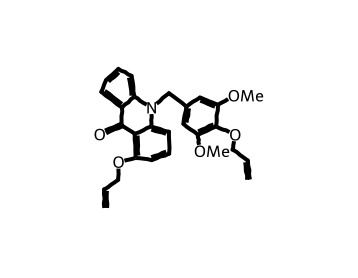 C=CCOc1c(OC)cc(Cn2c3ccccc3c(=O)c3c(OCC=C)cccc32)cc1OC